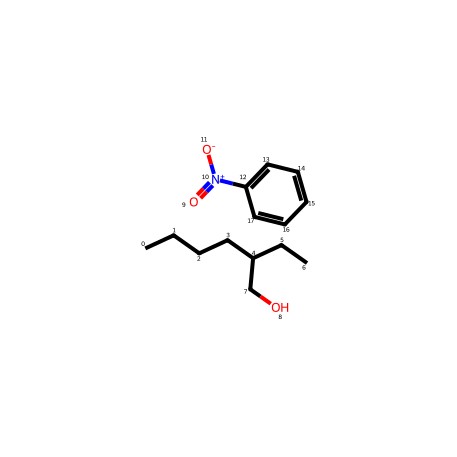 CCCCC(CC)CO.O=[N+]([O-])c1ccccc1